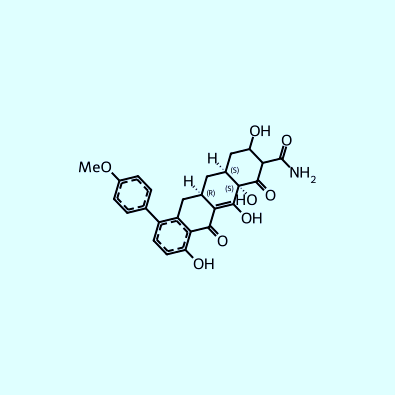 COc1ccc(-c2ccc(O)c3c2C[C@H]2C[C@H]4CC(O)C(C(N)=O)C(=O)[C@@]4(O)C(O)=C2C3=O)cc1